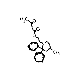 CC(=O)CC(=O)OCCN1CCC(C)CC1(c1ccccc1)c1ccccc1